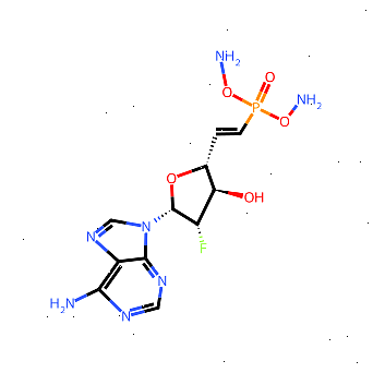 NOP(=O)(/C=C/[C@H]1O[C@@H](n2cnc3c(N)ncnc32)[C@@H](F)[C@@H]1O)ON